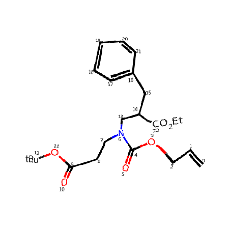 C=CCOC(=O)N(CCC(=O)OC(C)(C)C)CC(Cc1ccccc1)C(=O)OCC